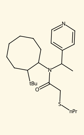 CCCSCC(=O)N(C(C)c1ccncc1)C1CCCCCCC1C(C)(C)C